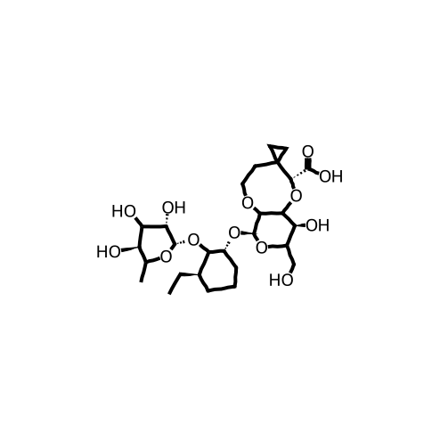 CC[C@@H]1CCC[C@@H](O[C@@H]2OC(CO)[C@H](O)C3O[C@@H](C(=O)O)C4(CCOC32)CC4)C1O[C@@H]1OC(C)[C@@H](O)C(O)[C@@H]1O